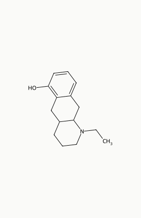 CCN1CCCC2Cc3c(O)cccc3CC21